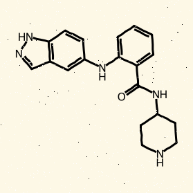 O=C(NC1CCNCC1)c1ccccc1Nc1ccc2[nH]ncc2c1